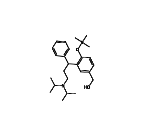 CC(C)N(CCC(c1ccccc1)c1cc(CO)ccc1O[Si](C)(C)C)C(C)C